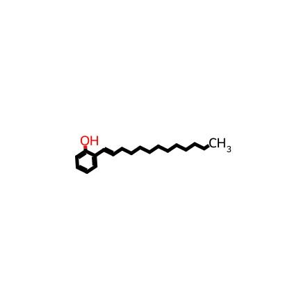 CCCCCCCCCCCC=Cc1ccccc1O